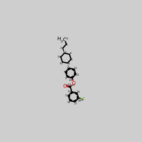 CCC[C@H]1CC[C@H](c2ccc(OC(=O)c3cccc(F)c3)cc2)CC1